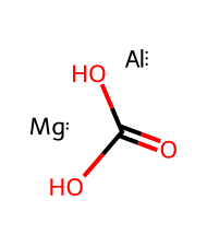 O=C(O)O.[Al].[Mg]